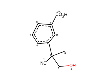 CC(C#N)(CO)c1cccc(C(=O)O)c1